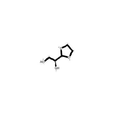 OC[C@H](O)C1OCCO1